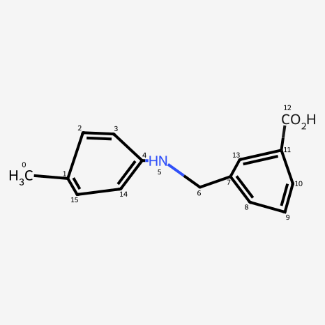 Cc1ccc(NCc2cccc(C(=O)O)c2)cc1